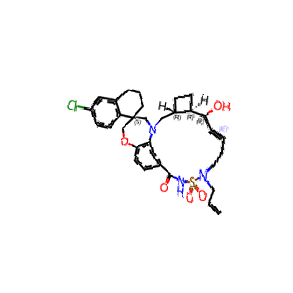 C=CCN1CC/C=C/[C@H](O)[C@@H]2CC[C@H]2CN2C[C@@]3(CCCc4cc(Cl)ccc43)COc3ccc(cc32)C(=O)NS1(=O)=O